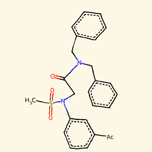 CC(=O)c1cccc(N(CC(=O)N(Cc2ccccc2)Cc2ccccc2)S(C)(=O)=O)c1